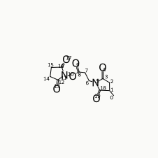 CC1CC(=O)N(CCC(=O)ON2C(=O)CCC2=O)C1=O